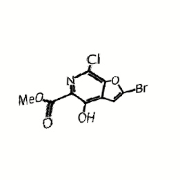 COC(=O)c1nc(Cl)c2oc(Br)cc2c1O